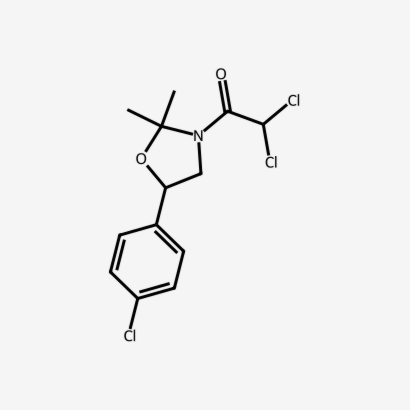 CC1(C)OC(c2ccc(Cl)cc2)CN1C(=O)C(Cl)Cl